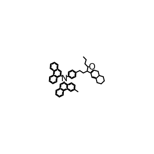 CCCC1OC2=C(C=C3CCCCC3C2)C1CCc1ccc(N(c2cc3ccccc3c3ccccc23)c2cc3ccccc3c3cc(C)ccc23)cc1